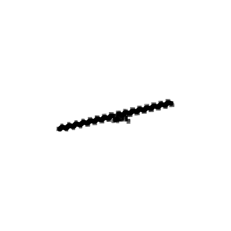 C=C.CCCCCCCCCCCCCCCCOCCCCCCCCCCCCCCCC.O